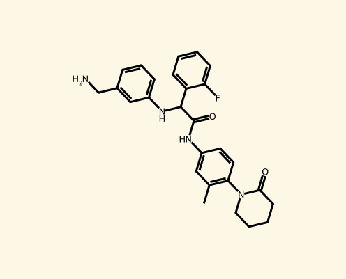 Cc1cc(NC(=O)C(Nc2cccc(CN)c2)c2ccccc2F)ccc1N1CCCCC1=O